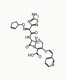 Nc1nc(C(=NOC2C=CCC2)C(=O)NC2C(=O)N3C(C(=O)O)=C(S/C=C\c4cccnc4)CS[C@@H]23)ns1